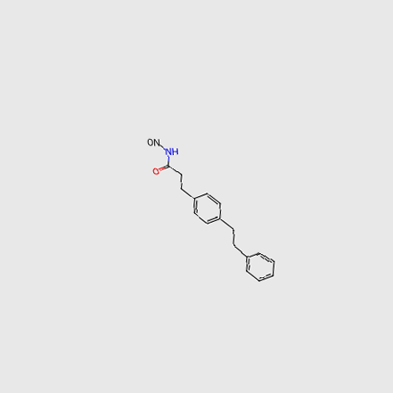 O=NNC(=O)CCc1ccc(CCc2ccccc2)cc1